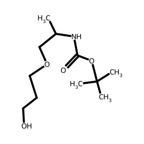 CC(COCCCO)NC(=O)OC(C)(C)C